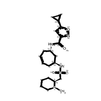 CN1CCCC[C@H]1CS(=O)(=O)N[C@H]1CC=CC[C@H](NC(=O)c2cc(C3CC3)on2)C1